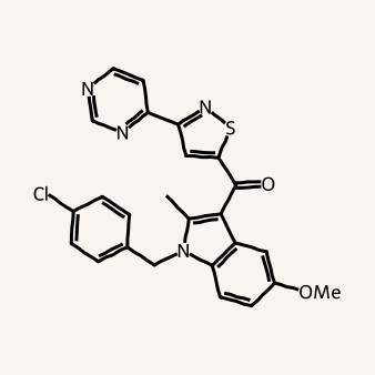 COc1ccc2c(c1)c(C(=O)c1cc(-c3ccncn3)ns1)c(C)n2Cc1ccc(Cl)cc1